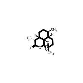 C[C@@H]1CC[C@H]2[C@@H](C)C(=O)O[C@@H]3O[C@@]4(C)CC[C@@H]1[C@]32O4